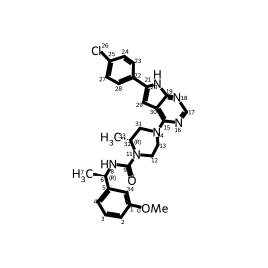 COc1cccc([C@@H](C)NC(=O)N2CCN(c3ncnc4[nH]c(-c5ccc(Cl)cc5)cc34)C[C@H]2C)c1